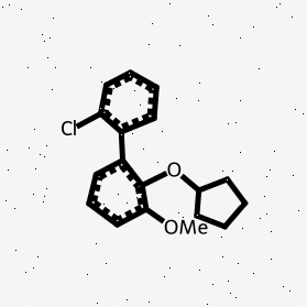 COc1cccc(-c2ccccc2Cl)c1OC1CCCC1